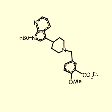 CCCCn1cc(C2CCN(Cc3ccc(OC)c(C(=O)OCC)c3)CC2)c2cccnc21